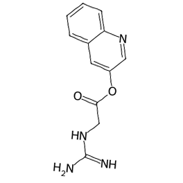 N=C(N)NCC(=O)Oc1cnc2ccccc2c1